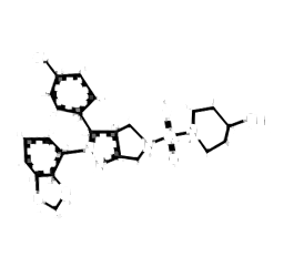 CC1CCN(S(=O)(=O)N2Cc3nn(-c4cccc5c4OCO5)c(-c4ccc(Cl)cc4)c3C2)CC1